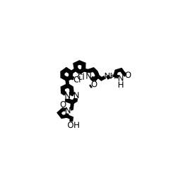 COc1nc(-c2cccc(-c3cccc(-c4ccn5c(=O)c(CN6CCCC6CO)cnc5c4)c3Cl)c2Cl)ccc1CNC[C@@H]1CCC(=O)N1